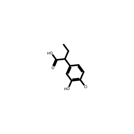 CCC(C(=O)O)c1ccc(Cl)c(O)c1